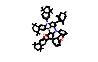 Cc1cc(C)c(-c2cc3c4c(c2)N(c2cccc5oc6ccccc6c25)c2ccc5c(oc6cc7c(cc65)C(C)(C)CCC7(C)C)c2B4c2cc4c(cc2N3c2ccc3c(c2)C(C)(C)CCC3(C)C)C(C)(C)CCC4(C)C)c(C)c1